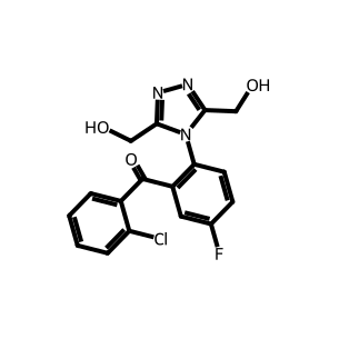 O=C(c1ccccc1Cl)c1cc(F)ccc1-n1c(CO)nnc1CO